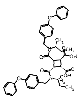 CC[C@@H](C)N(Cc1ccc(Oc2ccccc2)cc1)C(=O)[C@H]1[C@@H](C(=O)O)[C@H](C(=O)O)[C@@H]1C(=O)N(Cc1ccc(Oc2ccccc2)cc1)[C@H](C)CC